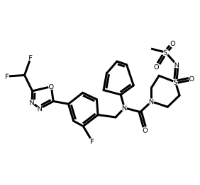 CS(=O)(=O)N=S1(=O)CCN(C(=O)N(Cc2ccc(-c3nnc(C(F)F)o3)cc2F)c2ccccc2)CC1